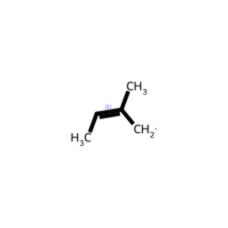 [CH2]/C(C)=C\C